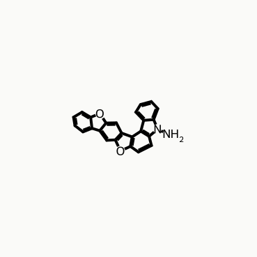 Nn1c2ccccc2c2c3c(ccc21)oc1cc2c(cc13)oc1ccccc12